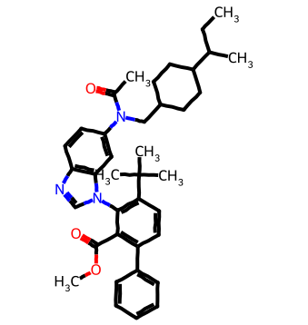 CCC(C)C1CCC(CN(C(C)=O)c2ccc3ncn(-c4c(C(C)(C)C)ccc(-c5ccccc5)c4C(=O)OC)c3c2)CC1